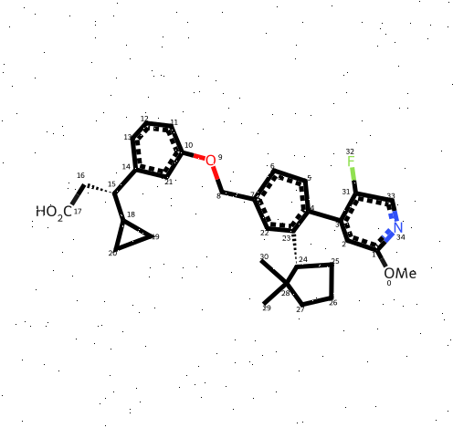 COc1cc(-c2ccc(COc3cccc([C@@H](CC(=O)O)C4CC4)c3)cc2[C@@H]2CCCC2(C)C)c(F)cn1